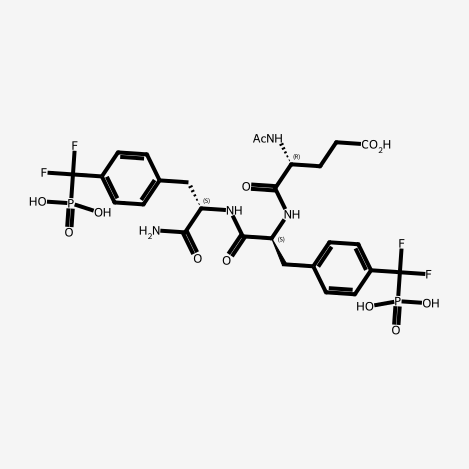 CC(=O)N[C@H](CCC(=O)O)C(=O)N[C@@H](Cc1ccc(C(F)(F)P(=O)(O)O)cc1)C(=O)N[C@@H](Cc1ccc(C(F)(F)P(=O)(O)O)cc1)C(N)=O